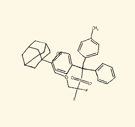 Cc1ccc(C(c2ccccc2)(c2ccccc2)S(=O)(=O)C(F)(F)COCC(O)C23CC4CC(CC(C4)C2)C3)cc1